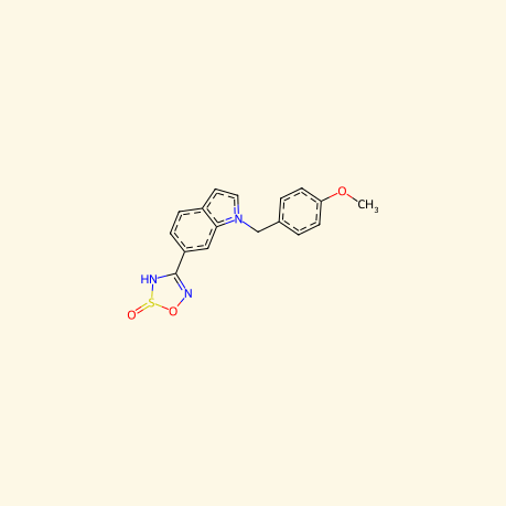 COc1ccc(Cn2ccc3ccc(C4=NOS(=O)N4)cc32)cc1